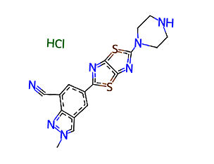 Cl.Cn1cc2cc(-c3nc4sc(N5CCNCC5)nc4s3)cc(C#N)c2n1